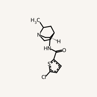 CC1CC2CCN1C[C@@H]2NC(=O)c1ccc(Cl)s1